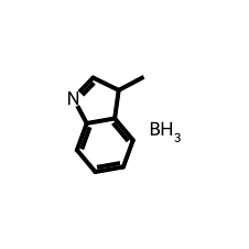 B.CC1C=Nc2ccccc21